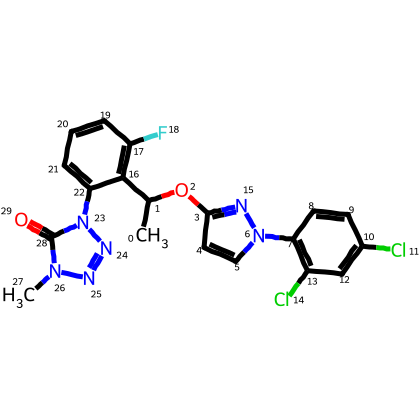 CC(Oc1ccn(-c2ccc(Cl)cc2Cl)n1)c1c(F)cccc1-n1nnn(C)c1=O